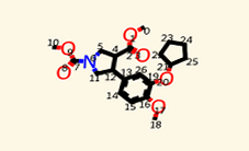 COC(=O)C1CN(C(=O)OC)CC1c1ccc(OC)c(OC2CCCC2)c1